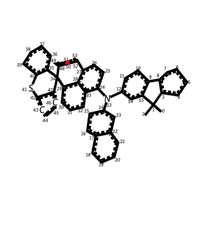 CC1(C)c2ccccc2-c2ccc(N(c3ccc4ccccc4c3)c3ccc4c5c(cccc35)C3(c5ccccc5Sc5ccccc53)c3ccccc3-4)cc21